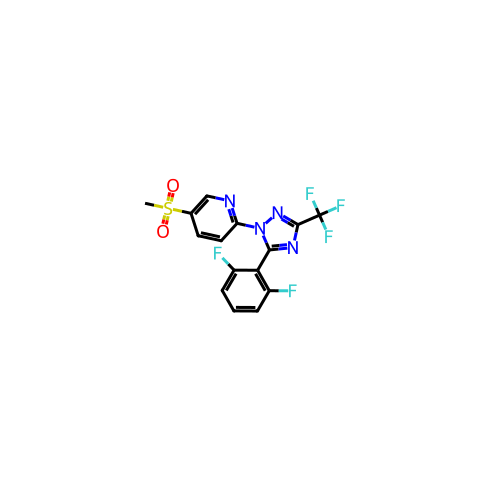 CS(=O)(=O)c1ccc(-n2nc(C(F)(F)F)nc2-c2c(F)cccc2F)nc1